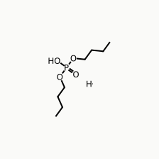 CCCCOP(=O)(O)OCCCC.[H]